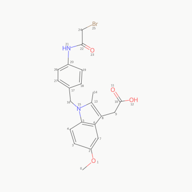 COc1ccc2c(c1)c(CC(=O)O)c(C)n2Cc1ccc(NC(=O)CBr)cc1